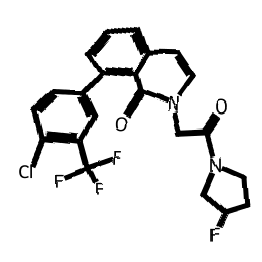 O=C(Cn1ccc2cccc(-c3ccc(Cl)c(C(F)(F)F)c3)c2c1=O)N1CCC(F)C1